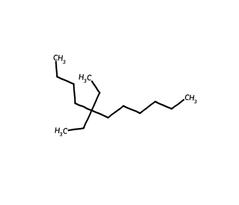 CCCCCCC(CC)(CC)CCCC